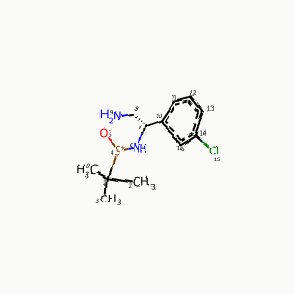 CC(C)(C)[S+]([O-])N[C@H](CN)c1cccc(Cl)c1